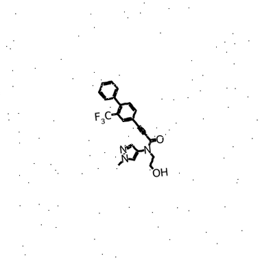 Cn1cc(N(CCO)C(=O)C#Cc2ccc(-c3ccccc3)c(C(F)(F)F)c2)cn1